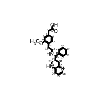 COc1cc(CC(=O)O)ccc1CCN[C@H](c1ccccc1)[C@H]1CNc2cccnc2C1